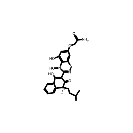 CC(C)CC[C@]1(C)C(=O)C(C2=NSc3cc(OCC(N)=O)cc(O)c3N2O)=C(O)c2ccccc21